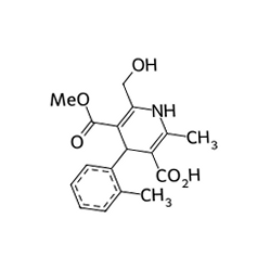 COC(=O)C1=C(CO)NC(C)=C(C(=O)O)C1c1ccccc1C